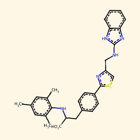 Cc1cc(C)c(NC(Cc2ccc(-c3nc(CNc4nc5ccccc5[nH]4)cs3)cc2)C(=O)O)c(C)c1